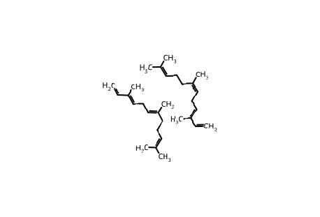 C=C/C(C)=C/C/C=C(\C)CCC=C(C)C.C=CC(C)=CCC=C(C)CCC=C(C)C